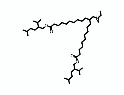 CCN(C)CC(CCCCCCCCCC(=O)OCC(CCC(C)C)C(C)C)CCCCCCCCCC(=O)OCC(CCC(C)C)C(C)C